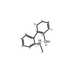 CBc1ccccc1C1=C(O)C=CCC1